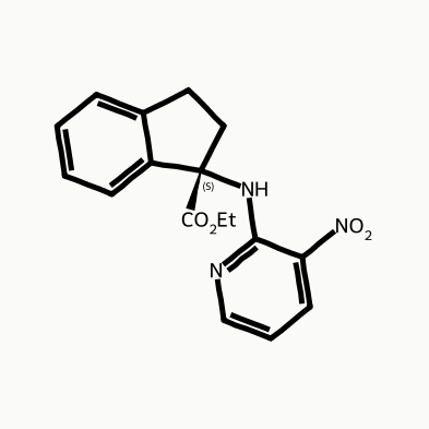 CCOC(=O)[C@]1(Nc2ncccc2[N+](=O)[O-])CCc2ccccc21